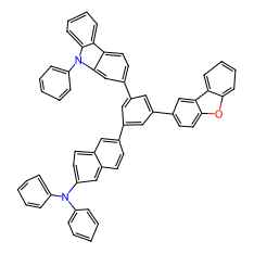 c1ccc(N(c2ccccc2)c2ccc3cc(-c4cc(-c5ccc6oc7ccccc7c6c5)cc(-c5ccc6c7ccccc7n(-c7ccccc7)c6c5)c4)ccc3c2)cc1